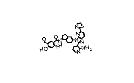 Nc1ncccc1-c1nc2ccc(-c3nccs3)nc2n1-c1ccc2c(c1)CC[C@@H]2NC(=O)c1cc(C=O)c(O)cc1F